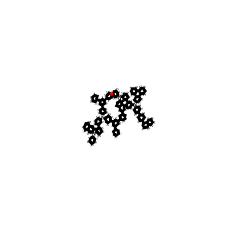 c1ccc(-c2cc(-c3ccccc3)cc(-c3ccc(N(c4ccc(-c5cc(-c6ccccc6)cc(-c6cccc(-c7ccc8c(ccc9c8c8c(-c%10cccc(N(c%11ccc(-c%12ccc(-c%13cccc%14ccccc%13%14)cc%12)cc%11)c%11ccc(-c%12ccccc%12-c%12ccccc%12)cc%11)c%10)cccc8n9-c8ccccc8)c7)c6)c5)cc4)c4cccc(-c5cccc6c5c5cc7ccccc7cc5n6-c5ccccc5)c4)cc3)c2)cc1